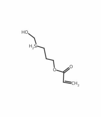 C=CC(=O)OCCC[SiH2]CO